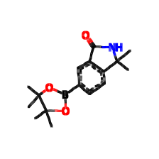 CC1(C)NC(=O)c2cc(B3OC(C)(C)C(C)(C)O3)ccc21